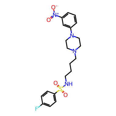 O=[N+]([O-])c1cccc(N2CCN(CCCCNS(=O)(=O)c3ccc(F)cc3)CC2)c1